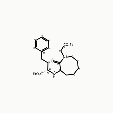 CCOC(=O)CN1CCCCCC(N[C@@H](CCc2ccccc2)C(=O)OCC)C1=O